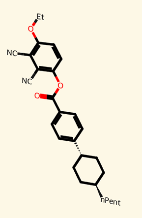 CCCCC[C@H]1CC[C@H](c2ccc(C(=O)Oc3ccc(OCC)c(C#N)c3C#N)cc2)CC1